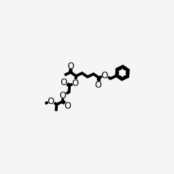 COC(C)C(=O)OCC(=O)OC(CCCC(=O)OCc1ccccc1)C(C)=O